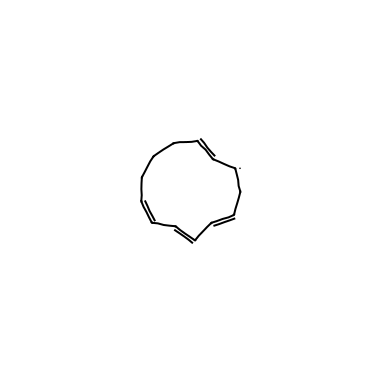 [CH]1/C=C/CCC\C=C/C=C/C=C/C1